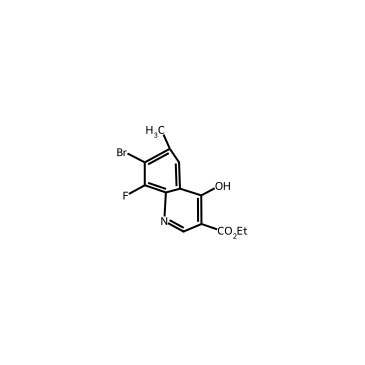 CCOC(=O)c1cnc2c(F)c(Br)c(C)cc2c1O